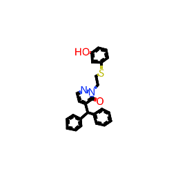 O=c1c(C(c2ccccc2)c2ccccc2)ccnn1CCSc1cccc(O)c1